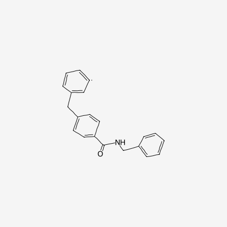 O=C(NCc1ccccc1)c1ccc(Cc2c[c]ccc2)cc1